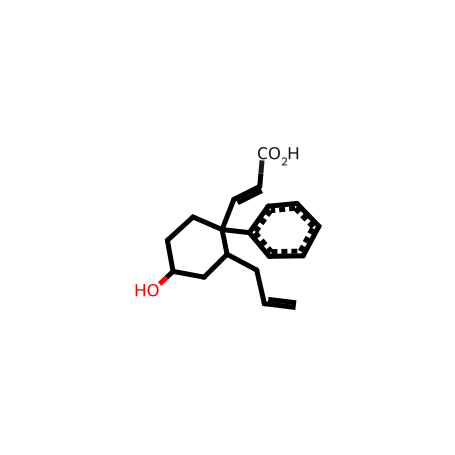 C=CCC1CC(O)CCC1(C=CC(=O)O)c1ccccc1